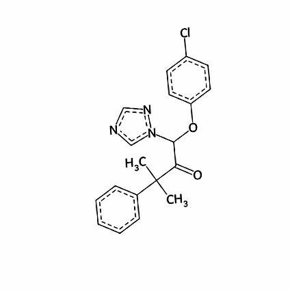 CC(C)(C(=O)C(Oc1ccc(Cl)cc1)n1cncn1)c1ccccc1